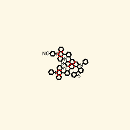 N#Cc1ccc(N(c2ccccc2)c2ccc3c(c2)N(c2c(-c4ccccc4)cccc2-c2ccccc2)c2cc(-c4ccc5c(c4)c4c6c(ccc4n5-c4ccccc4)sc4ccccc46)cc4c2B3c2ccc(N(c3ccccc3)c3ccccc3)cc2N4c2c(-c3ccccc3)cccc2-c2ccccc2)cc1